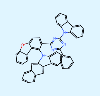 c1ccc(-c2nc(-c3ccc4oc5ccccc5c4c3-n3c4ccccc4c4cc5ccccc5cc43)nc(-n3c4ccccc4c4ccccc43)n2)cc1